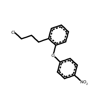 O=[N+]([O-])c1ccc(Oc2ccccc2CCCCl)cc1